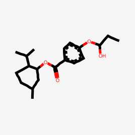 CCC(O)Oc1ccc(C(=O)OC2CC(C)CCC2C(C)C)cc1